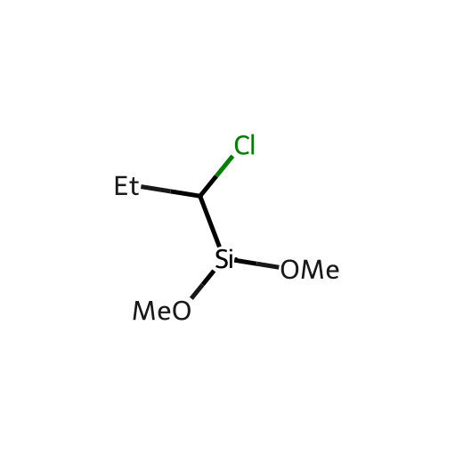 CCC(Cl)[Si](OC)OC